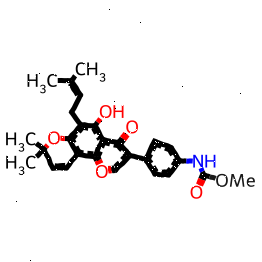 COC(=O)Nc1ccc(-c2coc3c4c(c(CC=C(C)C)c(O)c3c2=O)OC(C)(C)C=C4)cc1